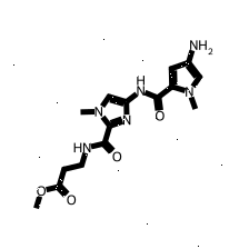 COC(=O)CCNC(=O)c1nc(NC(=O)c2cc(N)cn2C)cn1C